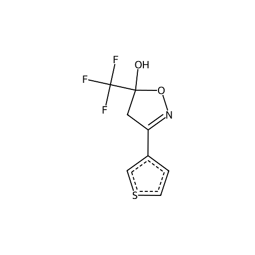 OC1(C(F)(F)F)CC(c2ccsc2)=NO1